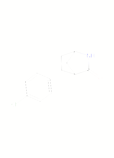 O=C1NC2CC1[C@H](c1ccc(Cl)cc1)C2